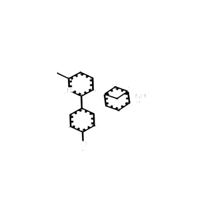 Cc1cccc(-c2ccc(Cl)cc2)n1.N.c1cc2cc(c1)C2